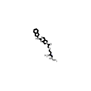 NN/C=C(\N)CCOCC(=O)N1Cc2cnc(NC3Cc4ccccc4C3)nc2C1